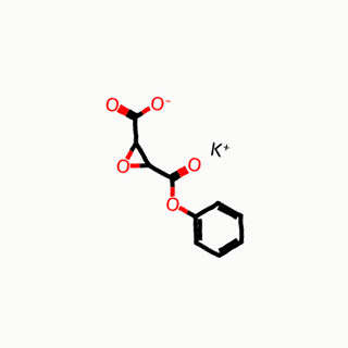 O=C([O-])C1OC1C(=O)Oc1ccccc1.[K+]